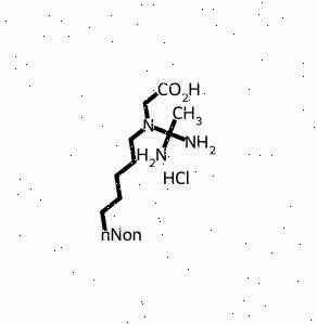 CCCCCCCCCCCCCCN(CC(=O)O)C(C)(N)N.Cl